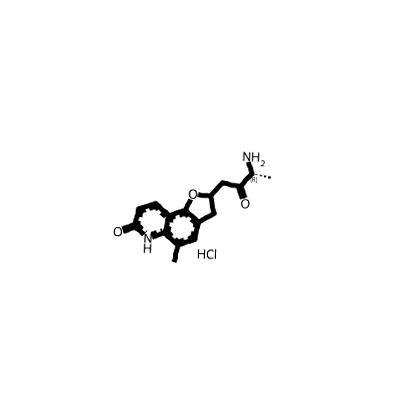 Cc1cc2c(c3ccc(=O)[nH]c13)OC(CC(=O)[C@@H](C)N)C2.Cl